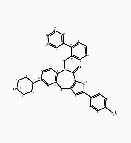 Nc1ccc(-c2cc3c(s2)C(=O)N(Cc2ccccc2-c2cncnc2)c2ccc(N4CCNCC4)cc2C3)cc1